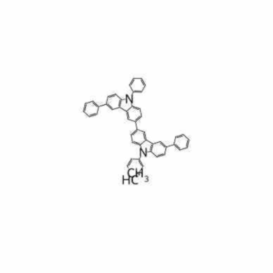 C#C/C=C(\C=C/C)n1c2ccc(-c3ccccc3)cc2c2cc(-c3ccc4c(c3)c3cc(-c5ccccc5)ccc3n4-c3ccccc3)ccc21